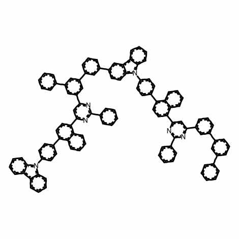 c1ccc(-c2cccc(-c3cccc(-c4cc(-c5ccc(-c6ccc(-n7c8ccccc8c8cc(-c9cccc(-c%10cc(-c%11ccccc%11)cc(-c%11cc(-c%12ccc(-c%13ccc(-n%14c%15ccccc%15c%15ccccc%15%14)cc%13)c%13ccccc%12%13)nc(-c%12ccccc%12)n%11)c%10)c9)ccc87)cc6)c6ccccc56)nc(-c5ccccc5)n4)c3)c2)cc1